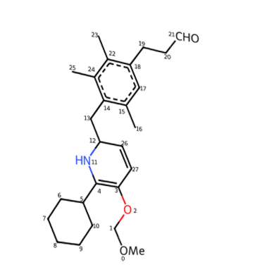 COCOC1=C(C2CCCCC2)NC(Cc2c(C)cc(CCC=O)c(C)c2C)C=C1